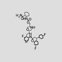 NC(=O)[C@H]1CCCCC1NC(=O)OC[C@@H]1CO[C@H](CCc2c(F)cncc2NC(=O)CC(c2ccc(F)cc2)c2ccc(F)cc2)CN1